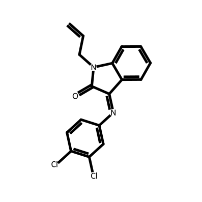 C=CCN1C(=O)/C(=N\c2ccc(Cl)c(Cl)c2)c2ccccc21